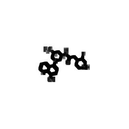 N#Cc1ccc(N2C[C@H](NC(=O)CC3CCNCC3F)C[C@H](C(F)(F)F)C2)c2cccnc12